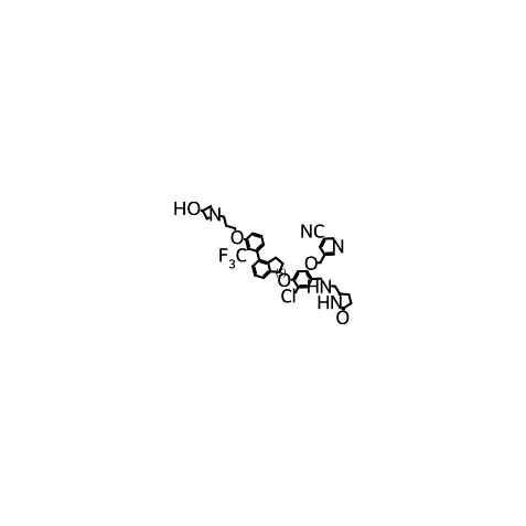 N#Cc1cncc(COc2cc(O[C@H]3CCc4c(-c5cccc(OCCCN6CC(O)C6)c5C(F)(F)F)cccc43)c(Cl)cc2CNCC2CCC(=O)N2)c1